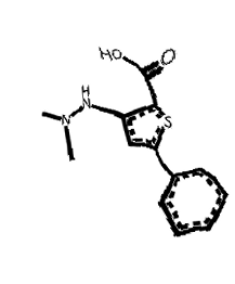 CN(C)Nc1cc(-c2ccccc2)sc1C(=O)O